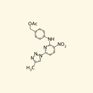 CC(=O)OCc1ccc(Nc2nc(-n3cc(C)nn3)ccc2[N+](=O)[O-])cc1